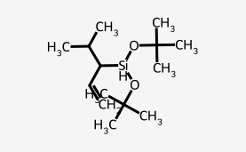 C=CC(C(C)C)[SiH](OC(C)(C)C)OC(C)(C)C